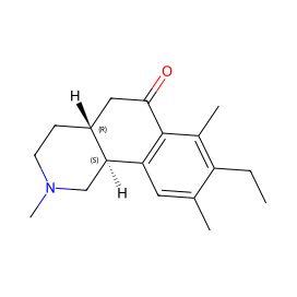 CCc1c(C)cc2c(c1C)C(=O)C[C@H]1CCN(C)C[C@H]21